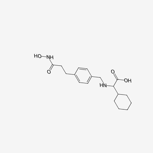 O=C(CCc1ccc(CNC(C(=O)O)C2CCCCC2)cc1)NO